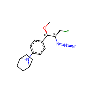 CO[C@H](c1ccc(N2C3CCC2CC3)cc1)[C@@H](CF)N=[N+]=[N-]